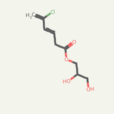 C=C(Cl)C=CCC(=O)OCC(O)CO